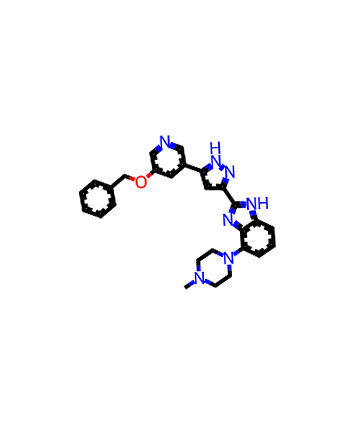 CN1CCN(c2cccc3[nH]c(-c4cc(-c5cncc(OCc6ccccc6)c5)[nH]n4)nc23)CC1